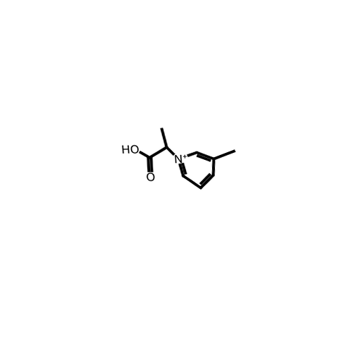 Cc1ccc[n+](C(C)C(=O)O)c1